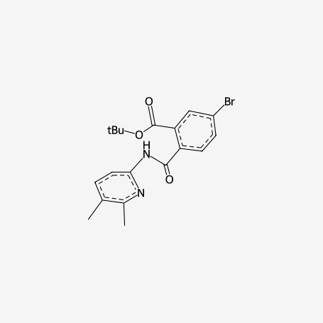 Cc1ccc(NC(=O)c2ccc(Br)cc2C(=O)OC(C)(C)C)nc1C